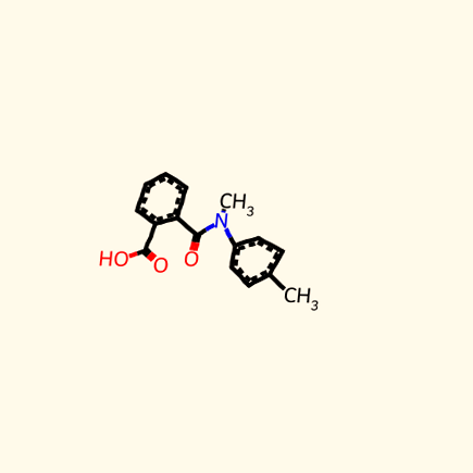 Cc1ccc(N(C)C(=O)c2ccccc2C(=O)O)cc1